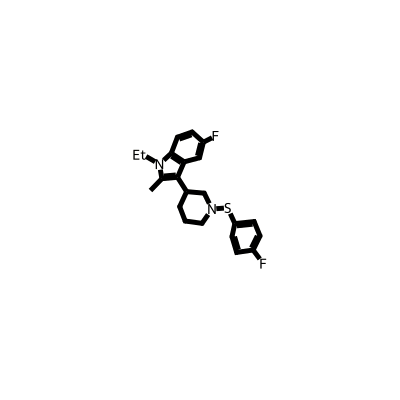 CCn1c(C)c(C2CCCN(Sc3ccc(F)cc3)C2)c2cc(F)ccc21